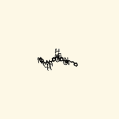 O=S(=O)(Nc1ccc(CCNCC(O)c2cccnc2)cc1)c1ccc(-c2nc(CCCC3CCCC3)no2)cc1